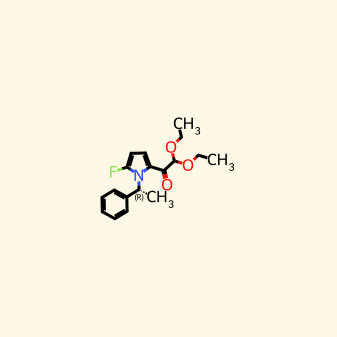 CCOC(OCC)C(=O)c1ccc(F)n1[C@H](C)c1ccccc1